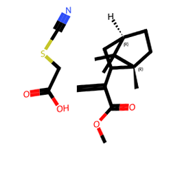 C=C(C(=O)OC)C1C[C@H]2CC[C@@]1(C)C2(C)C.N#CSCC(=O)O